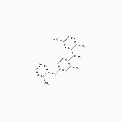 Cc1ccc(C)c(C(=O)c2ccc(Nc3cnccc3C)cc2Cl)c1